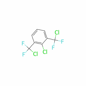 FC(F)(Cl)c1cccc(C(F)(F)Cl)c1Cl